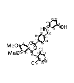 COc1ccc([C@H](Cc2c(Cl)cncc2Cl)OC(=O)c2ccc(CNc3cccc(O)c3)cc2)cc1OC